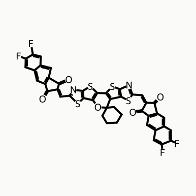 O=C1C(=Cc2nc3sc4c(c3s2)OC2(CCCCC2)c2c-4sc3nc(C=C4C(=O)c5cc6cc(F)c(F)cc6cc5C4=O)sc23)C(=O)c2cc3cc(F)c(F)cc3cc21